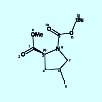 COC(=O)[C@@H]1CC(I)CN1C(=O)OC(C)(C)C